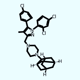 Cc1c(CN2CCN(C3[C@H]4C[C@@H]5C[C@@H](C[C@H]3C5)C4)CC2)nn(-c2ccc(Cl)cc2Cl)c1-c1ccc(Cl)cc1